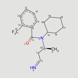 C[C@@H](CC=N)N(C(=O)c1ccccc1C(F)(F)F)C1CCCCC1